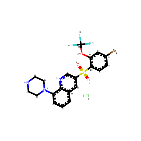 Cl.O=S(=O)(c1cnc2c(N3CCNCC3)cccc2c1)c1ccc(Br)cc1OC(F)(F)F